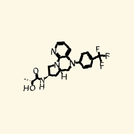 C[C@@H](O)C(=O)N[C@@H]1C[C@@H]2CN(c3ccc(C(F)(F)F)cc3)c3cccnc3N2C1